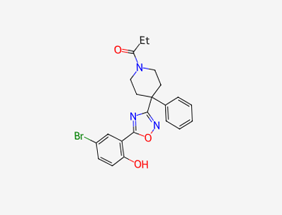 CCC(=O)N1CCC(c2ccccc2)(c2noc(-c3cc(Br)ccc3O)n2)CC1